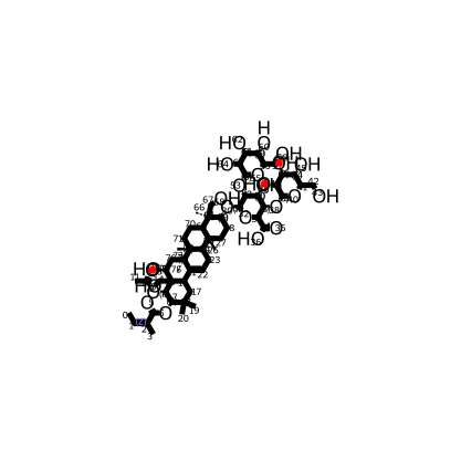 C/C=C(/C)C(=O)O[C@H]1[C@H](OC(C)=O)C2(CO)C(CC1(C)C)C1=CCC3[C@@]4(C)CC[C@H](O[C@@H]5OC(C(=O)O)[C@@H](O[C@@H]6OC(CO)[C@@H](O)[C@@H](O)C6O)[C@@H](O)C5O[C@@H]5OC(CO)[C@@H](O)[C@@H](O)C5O)[C@](C)(CO)C4CC[C@@]3(C)[C@]1(C)C[C@H]2O